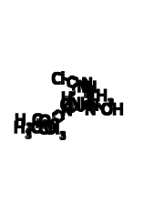 Cc1cc(CC(CNc2ccc(C(=O)OC(C)(C)C)cc2)NC(=O)/C=C/c2cc(Cl)ccc2-n2cnnn2)nn1CCO